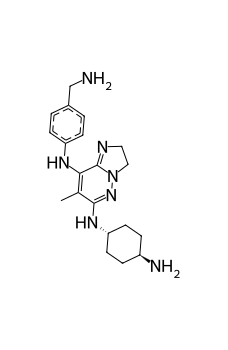 CC1=C(Nc2ccc(CN)cc2)C2=NCCN2N=C1N[C@H]1CC[C@H](N)CC1